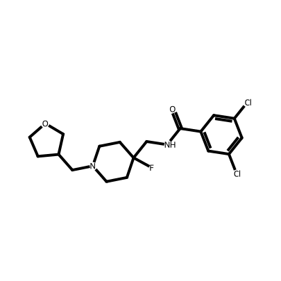 O=C(NCC1(F)CCN(CC2CCOC2)CC1)c1cc(Cl)cc(Cl)c1